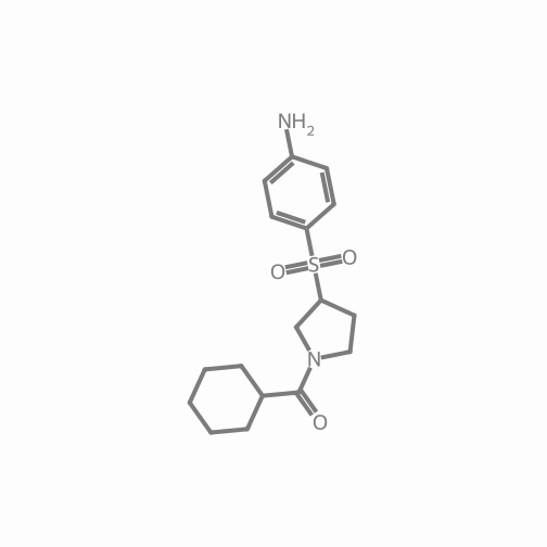 Nc1ccc(S(=O)(=O)C2CCN(C(=O)C3CCCCC3)C2)cc1